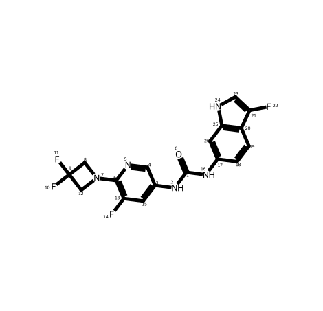 O=C(Nc1cnc(N2CC(F)(F)C2)c(F)c1)Nc1ccc2c(F)c[nH]c2c1